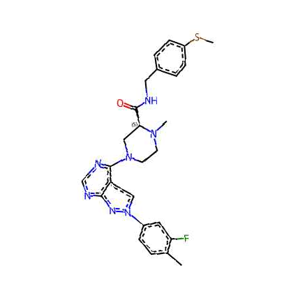 CSc1ccc(CNC(=O)[C@@H]2CN(c3ncnc4nn(-c5ccc(C)c(F)c5)cc34)CCN2C)cc1